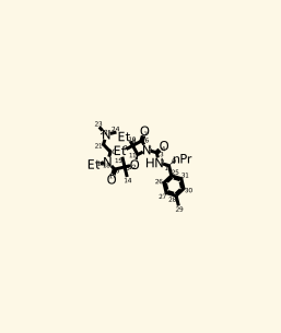 CCC[C@@H](NC(=O)N1C(=O)C(CC)(CC)[C@@H]1OC(C)(C)C(=O)N(CC)CCN(C)C)c1ccc(C)cc1